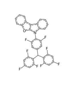 Fc1cc(F)c(C(c2cc(F)c(-n3c4ccccc4c4c5ccccc5oc43)c(F)c2)c2c(F)cc(F)cc2F)c(F)c1